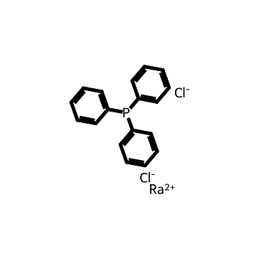 [Cl-].[Cl-].[Ra+2].c1ccc(P(c2ccccc2)c2ccccc2)cc1